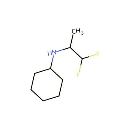 CC(NC1CCCCC1)C(F)F